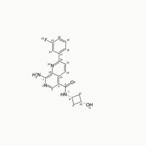 Nc1ncc(C(=O)N[C@H]2C[C@@H](O)C2)c2ccc(-c3cccc(F)c3)nc12